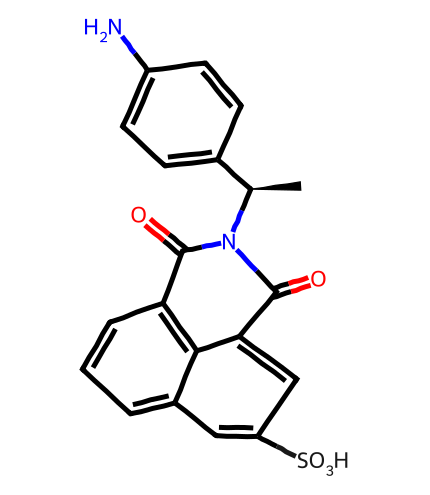 C[C@H](c1ccc(N)cc1)N1C(=O)c2cccc3cc(S(=O)(=O)O)cc(c23)C1=O